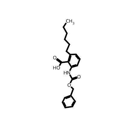 CCCCCCc1cccc(NC(=O)OCc2ccccc2)c1C(=O)O